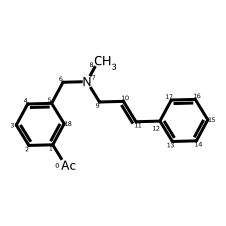 CC(=O)c1cccc(CN(C)C/C=C/c2ccccc2)c1